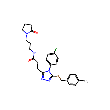 Cc1ccc(CSc2nnc(CCC(=O)NCCCN3CCCC3=O)n2-c2ccc(Cl)cc2)cc1